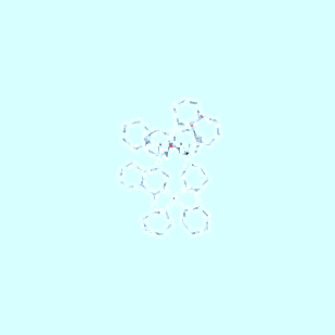 c1ccc(-c2ccccc2N(c2ccccc2)c2ccc3c(c2)C2(c4ccccc4-3)c3ccccc3-c3c2cc(N(c2ccccc2)c2ccccc2)c2ccccc32)cc1